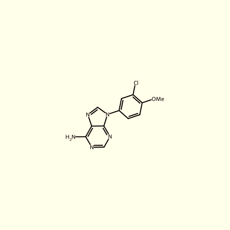 COc1ccc(-n2cnc3c(N)ncnc32)cc1Cl